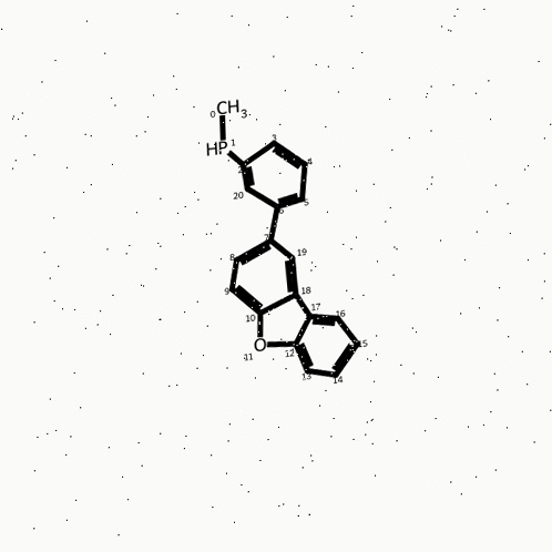 CPc1cccc(-c2ccc3oc4ccccc4c3c2)c1